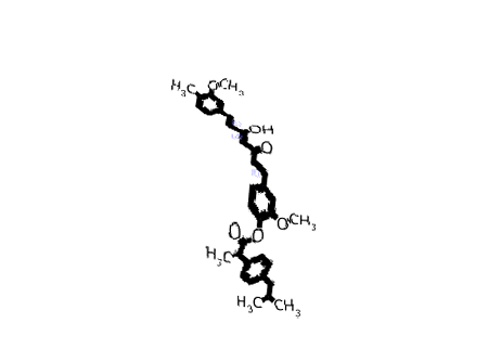 COc1cc(/C=C/C(O)=C/C(=O)/C=C/c2ccc(OC(=O)[C@H](C)c3ccc(CC(C)C)cc3)c(OC)c2)ccc1C